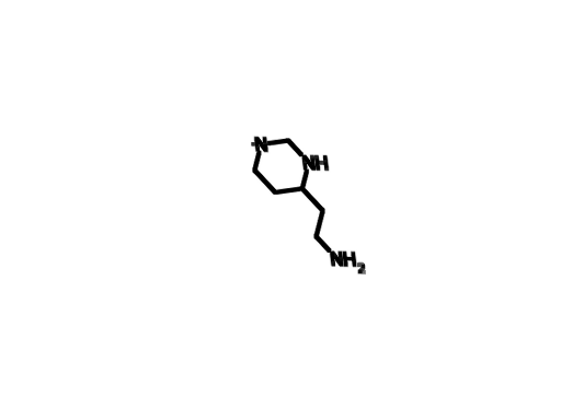 NCCC1CC[N]CN1